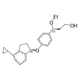 CCO[C@@H](CCO)c1ccc(O[C@@H]2CCc3c(C4CC4)cccc32)cc1